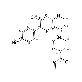 C=CC(=O)N1CCN(c2ncnc3cc(Cl)c(-c4ccc(C#N)cc4)cc23)CC1